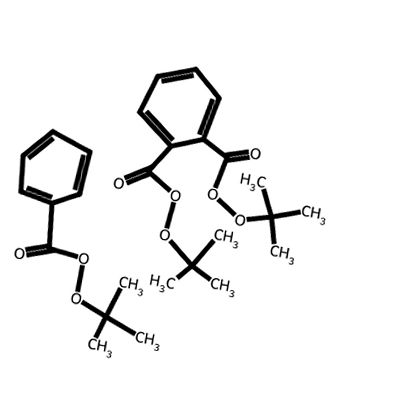 CC(C)(C)OOC(=O)c1ccccc1.CC(C)(C)OOC(=O)c1ccccc1C(=O)OOC(C)(C)C